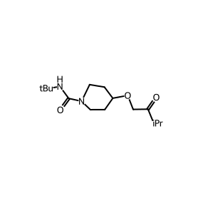 CC(C)C(=O)COC1CCN(C(=O)NC(C)(C)C)CC1